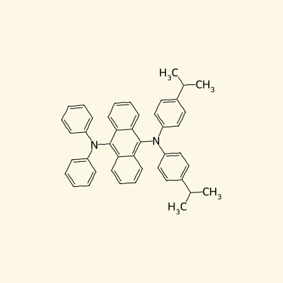 CC(C)c1ccc(N(c2ccc(C(C)C)cc2)c2c3ccccc3c(N(c3ccccc3)c3ccccc3)c3ccccc23)cc1